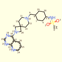 CCS(=O)(=O)NC1CCC(CN2CCC3(CC2)CN(c2ncnc4ncccc24)C3)CC1